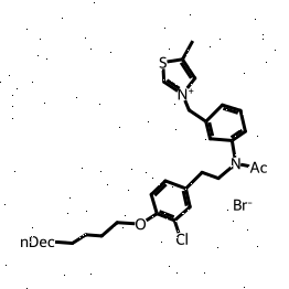 CCCCCCCCCCCCCCOc1ccc(CCN(C(C)=O)c2cccc(C[n+]3csc(C)c3)c2)cc1Cl.[Br-]